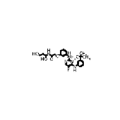 CC(C)(C)c1cccc(Nc2nc(Nc3cccc(OCC(=O)NC(O)CCO)c3)ncc2F)c1